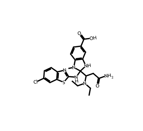 CCN(CC)C(CC(N)=O)C1(Nc2nc3ccc(Cl)cc3s2)Nc2cc(C(=O)O)ccc2N1C